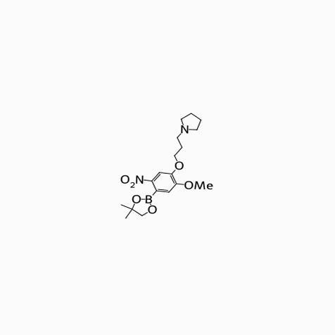 COc1cc(B2OCC(C)(C)O2)c([N+](=O)[O-])cc1OCCCN1CCCC1